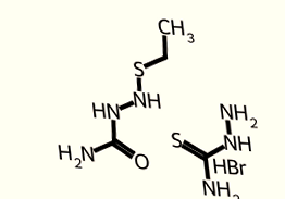 Br.CCSNNC(N)=O.NNC(N)=S